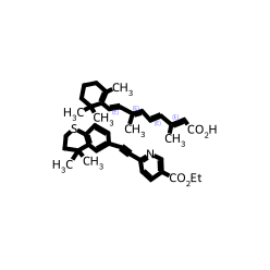 CC1=C(/C=C/C(C)=C/C=C/C(C)=C/C(=O)O)C(C)(C)CCC1.CCOC(=O)c1ccc(C#Cc2ccc3c(c2)C(C)(C)CCS3)nc1